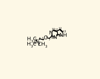 C[Si](C)(C)CCOCc1ncc2cc[nH]c2n1